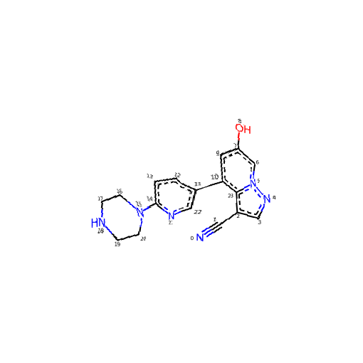 N#Cc1cnn2cc(O)cc(-c3ccc(N4CCNCC4)nc3)c12